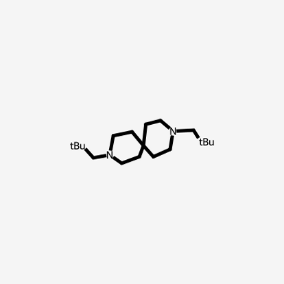 CC(C)(C)CN1CCC2(CC1)CCN(CC(C)(C)C)CC2